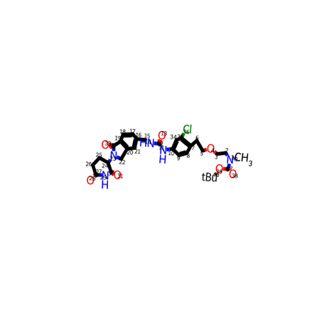 CN(CCOCCc1ccc(NC(=O)NCc2ccc3c(c2)CN(C2CCC(=O)NC2=O)C3=O)cc1Cl)C(=O)OC(C)(C)C